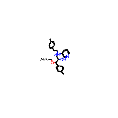 COCO[C@@H](c1ccc(C)cc1)C(C)Nc1ncccc1NCCc1ccc(C)cc1